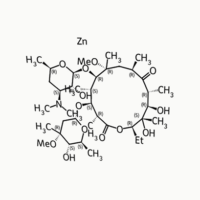 CC[C@H]1OC(=O)[C@H](C)[C@@H](O[C@H]2C[C@@](C)(OC)[C@@H](O)[C@H](C)O2)[C@H](C)[C@@H](O[C@@H]2O[C@H](C)C[C@H](N(C)C)[C@H]2O)[C@](C)(OC)C[C@@H](C)C(=O)[C@H](C)[C@@H](O)[C@]1(C)O.[Zn]